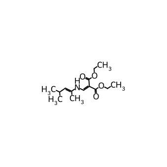 CCOC(=O)C(=CN/C(C)=C/C(C)C)C(=O)OCC